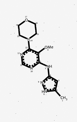 COc1c(Nc2cc(C)[nH]n2)ncnc1N1CCOCC1